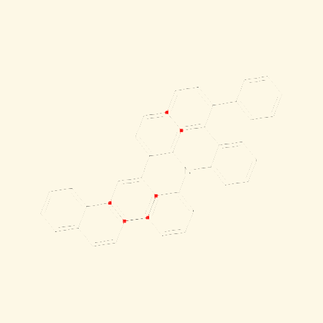 c1ccc(-c2ccccc2-c2ccccc2N(c2cccc(-c3ccc4ccccc4c3)c2)c2ccccc2-c2ccccc2)cc1